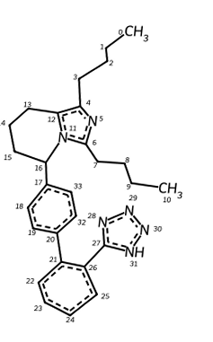 CCCCc1nc(CCCC)n2c1CCCC2c1ccc(-c2ccccc2-c2nnn[nH]2)cc1